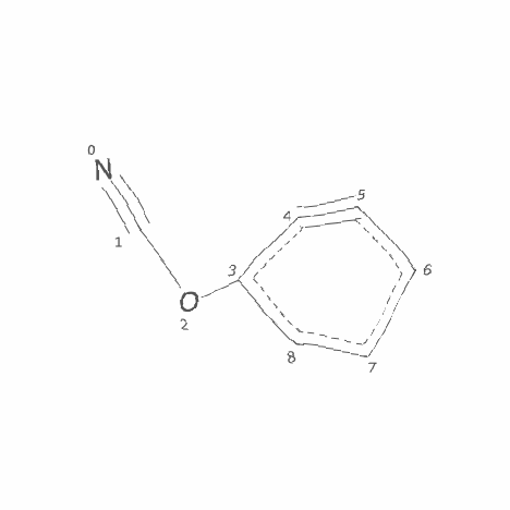 N#COc1c#cccc1